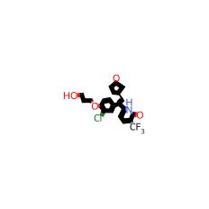 O=C1CC[C@H](/C=C(\c2ccc(OCCCO)c(Cl)c2)c2ccc(C(F)(F)F)c(=O)[nH]2)C1